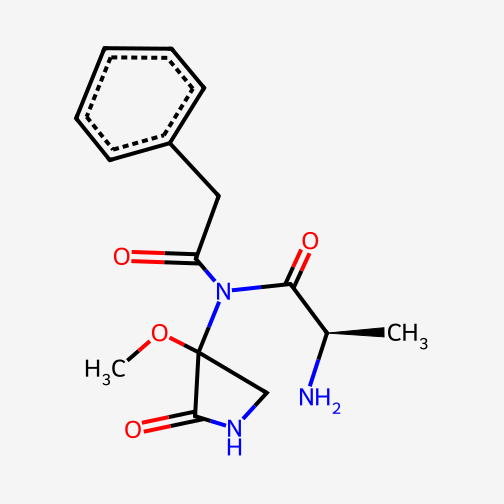 COC1(N(C(=O)Cc2ccccc2)C(=O)[C@@H](C)N)CNC1=O